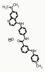 CN(C)c1ccc2c(Nc3ccc(NC(=O)c4cccc(Nc5cc[n+](C)cc5)c4)cc3)ccnc2c1.Cl.[Cl-]